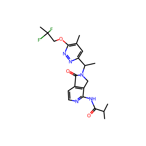 Cc1cc(C(C)N2Cc3c(ccnc3NC(=O)C(C)C)C2=O)nnc1OCC(C)(F)F